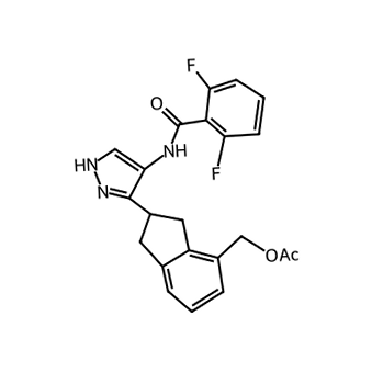 CC(=O)OCc1cccc2c1CC(c1n[nH]cc1NC(=O)c1c(F)cccc1F)C2